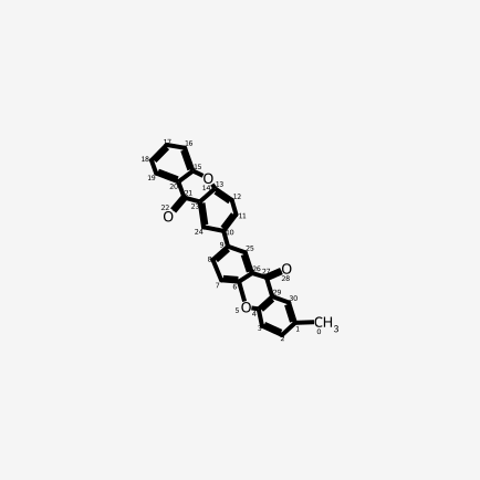 Cc1ccc2oc3ccc(-c4ccc5oc6ccccc6c(=O)c5c4)cc3c(=O)c2c1